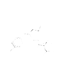 CCC[C@@H](CNC(=O)[C@@H](N)C(C)C)Nc1ccc(Cl)cc1